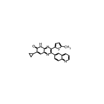 Cc1ccc(-c2nc3[nH]c(=O)c(C4CC4)cc3nc2-c2ccc3ncccc3c2)s1